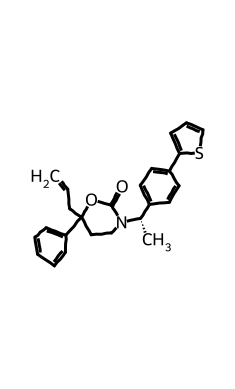 C=CCC1(c2ccccc2)CCN([C@@H](C)c2ccc(-c3cccs3)cc2)C(=O)O1